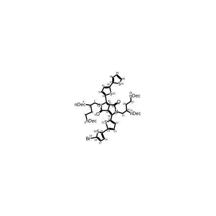 CCCCCCCCCCCCC(CCCCCCCCCC)CN1C(=O)C2=C(c3ccc(-c4ccc(Br)s4)s3)N(CC(CCCCCCCCCC)CCCCCCCCCCCC)C(=O)C2=C1c1ccc(-c2cccs2)s1